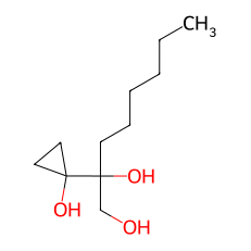 CCCCCCC(O)(CO)C1(O)CC1